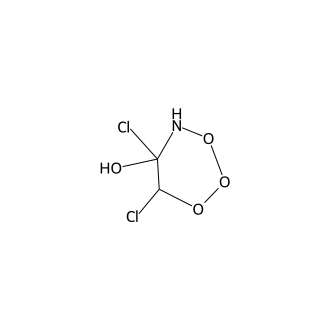 OC1(Cl)NOOOC1Cl